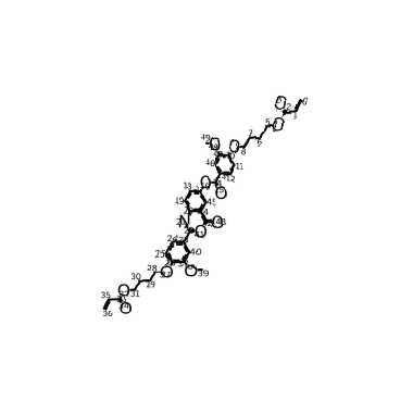 C=CC(=O)OCCCCOc1ccc(C(=O)Oc2ccc3nc(-c4ccc(OCCCCOC(=O)C=C)c(OC)c4)oc(=O)c3c2)cc1OC